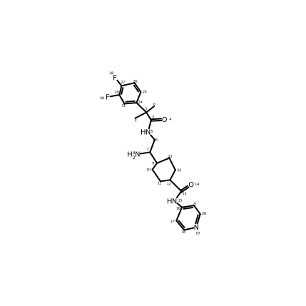 CC(C)(C(=O)NCC(N)C1CCC(C(=O)Nc2ccncc2)CC1)c1ccc(F)c(F)c1